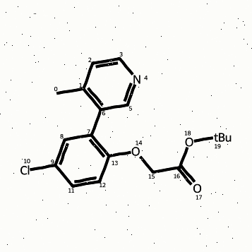 Cc1ccncc1-c1cc(Cl)ccc1OCC(=O)OC(C)(C)C